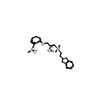 C[S+]([O-])c1ccccc1OC[C@H](O)C[N+](C)(C)CCC1Cc2ccccc2C1